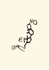 CCC1(C)C(CCC=O)CCC1C1CC=C2CC(N=O)CCC2(C)C1C